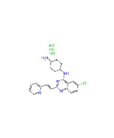 Cl.Cl.Cl.NC1CCC(Nc2nc(C=Cc3ccccn3)nc3ccc(Cl)cc23)CC1